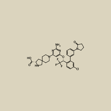 Nc1nc(O[C@H](c2ccc(Cl)cc2-c2cccc(N3CCCC3=O)c2)C(F)(F)F)cc(N2CCC3(CC2)CN[C@H](C(=O)O)C3)n1